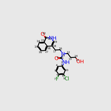 O=C(Nc1ccc(F)c(Cl)c1)N(CCCO)CCc1c[nH]c(=O)c2ccccc12